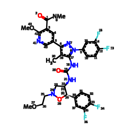 CNC(=O)c1cc(-c2nn(-c3ccc(F)c(F)c3)c(NC(=O)N[C@@H]3CN(CCOC)O[C@H]3c3ccc(F)c(F)c3)c2C)cnc1OC